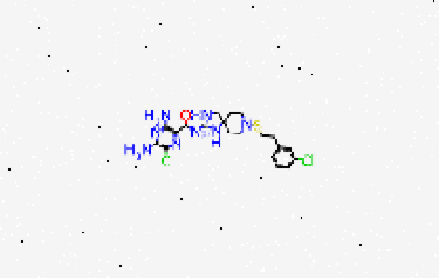 Nc1nc(N)c(C(=O)/N=C2\NCC3(CCN(SCCc4cccc(Cl)c4)CC3)N2)nc1Cl